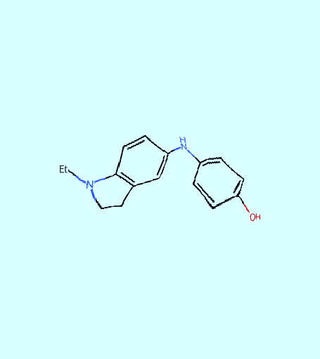 CCN1CCc2cc(Nc3ccc(O)cc3)ccc21